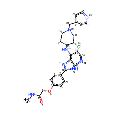 CNC(=O)COc1ccc(-c2nc3c(NC4CCN(Cc5ccncc5)CC4)c(Cl)cnc3[nH]2)cc1